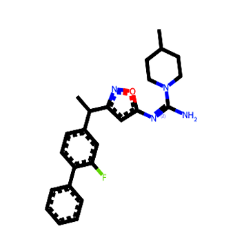 CC1CCN(/C(N)=N\c2cc(C(C)c3ccc(-c4ccccc4)c(F)c3)no2)CC1